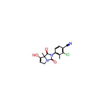 Cc1c(N2C(=O)N3CC=C(O)C3(C)C2=O)ccc(C#N)c1Cl